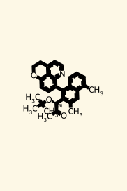 CC(=O)[C@@H](OC(C)(C)C)c1c(C)cc2c(C)cccc2c1-c1ccc2c3c(ccnc13)CCO2